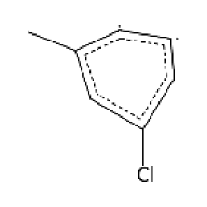 Cc1[c][c]cc(Cl)c1